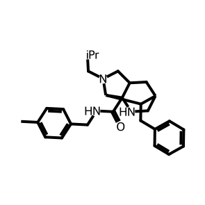 Cc1ccc(CNC(=O)C23NCC4CC2CN(CC(C)C)C3C4Cc2ccccc2)cc1